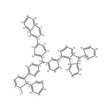 IC1C=CC=C(c2ccc(N(c3ccc(-c4ccc5ccccc5c4)cc3)c3cccc(-c4cccc5c4c4ccccc4n5-c4ccccc4)c3)cc2)C1c1ccccc1